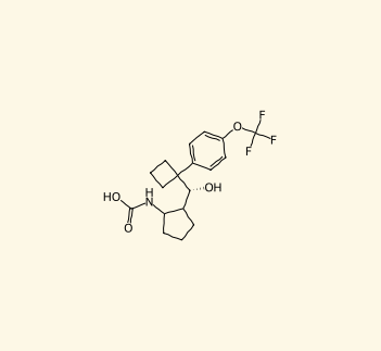 O=C(O)NC1CCCC1[C@@H](O)C1(c2ccc(OC(F)(F)F)cc2)CCC1